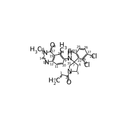 C=CC(=O)N1CCC(Nc2ccc3ncn(C)c(=O)c3c2C)(c2c(F)ccc(Cl)c2Cl)C1